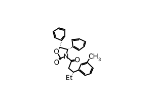 CC[C@H](CC(=O)N1C(=O)O[C@H](c2ccccc2)[C@@H]1c1ccccc1)c1cccc(C)c1